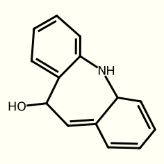 OC1C=C2C=CC=CC2Nc2ccccc21